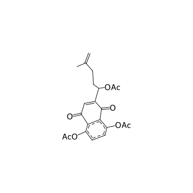 C=C(C)CCC(OC(C)=O)C1=CC(=O)c2c(OC(C)=O)ccc(OC(C)=O)c2C1=O